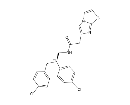 O=C(Cc1cn2ccsc2n1)NC[C@H](Cc1ccc(Cl)cc1)c1ccc(Cl)cc1